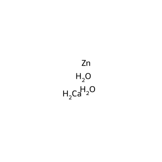 O.O.[CaH2].[Zn]